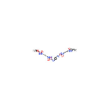 CCCOCCOC(=O)NCCCCCCNC(=O)OCC/N=C\c1ccc(/C=N/CCOC(=O)NCCCCCCNC(=O)OC)cc1